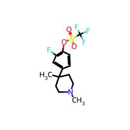 CN1CCC(C)(c2ccc(OS(=O)(=O)C(F)(F)F)c(F)c2)CC1